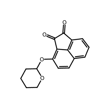 O=C1C(=O)c2c(OC3CCCCO3)ccc3cccc1c23